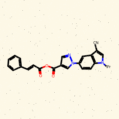 CC(C)n1cc(C#N)c2cc(-n3cc(C(=O)OC(=O)/C=C/c4ccccc4)cn3)ccc21